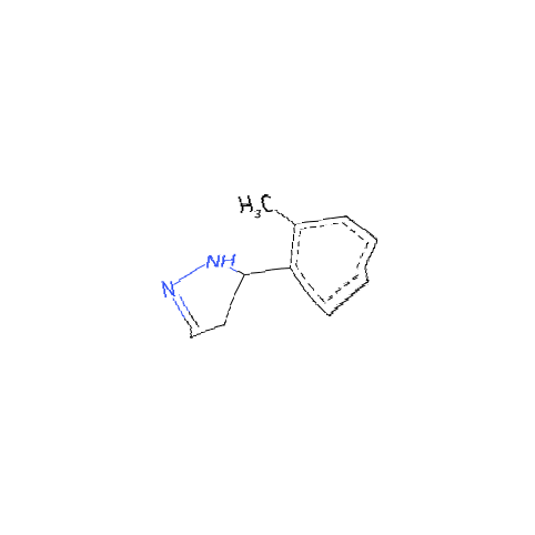 Cc1ccccc1C1CC=NN1